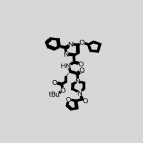 CC(C)(C)OC(=O)CC[C@H](NC(=O)c1cc(OC2CCCC2)nc(-c2ccccc2)n1)C(=O)N1CCN(C(=O)c2ccco2)CC1